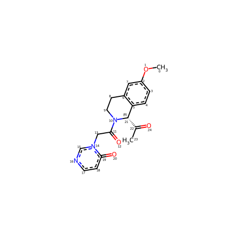 COc1ccc2c(c1)CCN(C(=O)Cn1cnccc1=O)[C@H]2C(C)=O